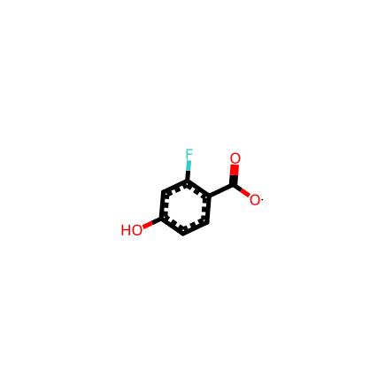 [O]C(=O)c1ccc(O)cc1F